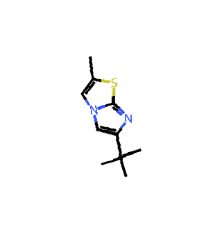 Cc1cn2cc(C(C)(C)C)nc2s1